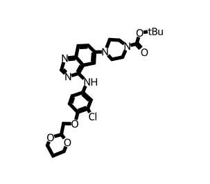 CC(C)(C)OC(=O)N1CCN(c2ccc3ncnc(Nc4ccc(OCC5OCCCO5)c(Cl)c4)c3c2)CC1